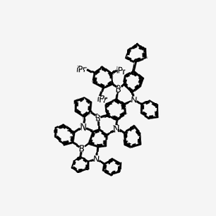 CC(C)c1cc(C(C)C)c(B2c3cc(-c4ccccc4)ccc3N(c3ccccc3)c3cc4c(cc32)B2c3ccccc3N3c5ccccc5B5c6ccccc6N(c6ccccc6)c6cc(c2c3c65)N4c2ccccc2)c(C(C)C)c1